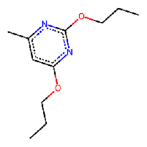 CCCOc1cc(C)nc(OCCC)n1